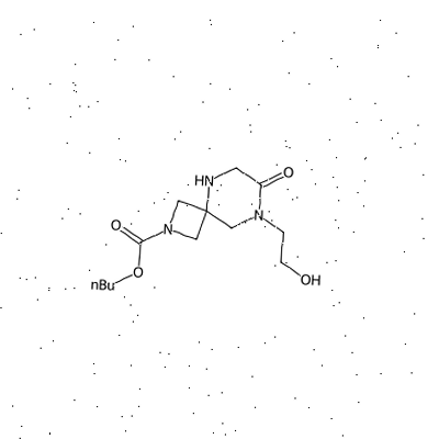 CCCCOC(=O)N1CC2(CN(CCO)C(=O)CN2)C1